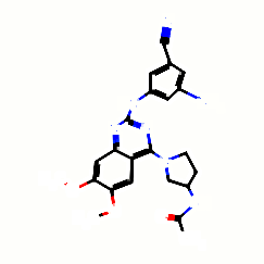 COc1cc2nc(Nc3cc(N)cc(C#N)c3)nc(N3CCC(NC(C)=O)C3)c2cc1OC